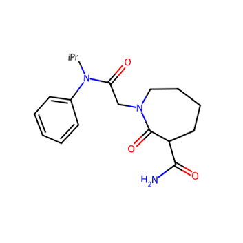 CC(C)N(C(=O)CN1CCCCC(C(N)=O)C1=O)c1ccccc1